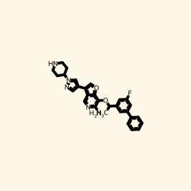 CC(Oc1c(N)ncc2c(-c3cnn(C4CCNCC4)c3)coc12)c1cc(F)cc(-c2ccccc2)c1